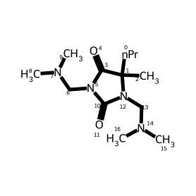 CCCC1(C)C(=O)N(CN(C)C)C(=O)N1CN(C)C